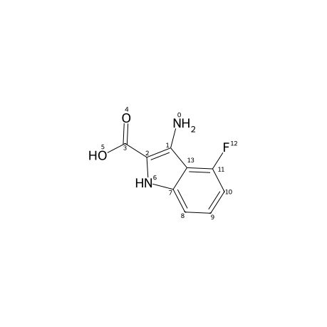 Nc1c(C(=O)O)[nH]c2cccc(F)c12